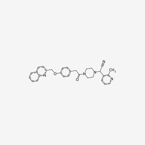 Cc1ncccc1C(C#N)N1CCN(C(=O)Cc2ccc(OCc3ccc4ccccc4n3)cc2)CC1